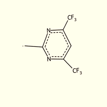 [CH2]c1nc(C(F)(F)F)cc(C(F)(F)F)n1